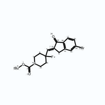 CC(C)(C)OC(=O)N1CCC(F)(/C=C2\Cc3cc(Br)ccc3C2=O)CC1